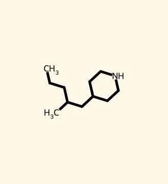 CCCC(C)CC1CCNCC1